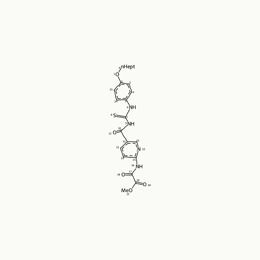 CCCCCCCOc1ccc(NC(=S)NC(=O)c2ccc(NC(=O)C(=O)OC)nc2)cc1